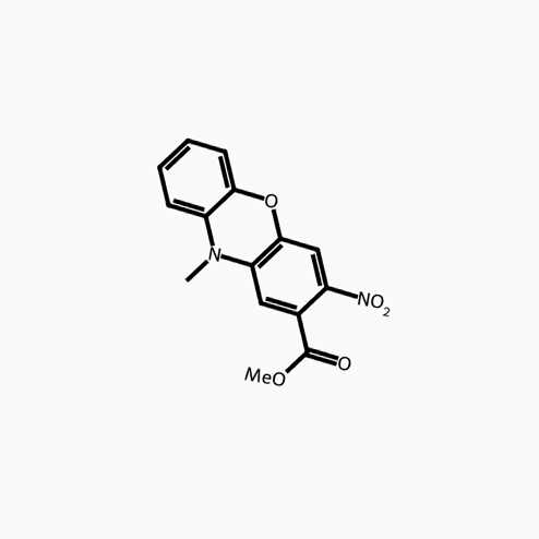 COC(=O)c1cc2c(cc1[N+](=O)[O-])Oc1ccccc1N2C